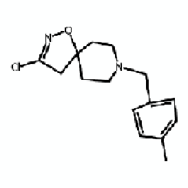 Cc1ccc(CN2CCC3(CC2)CC(Cl)=NO3)cc1